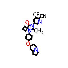 C=C1N(c2cnc(C#N)c(C(F)(F)F)c2)C(=O)C2(CCC2)N1c1ccc(OC2CCN3CCCC3C2)cc1